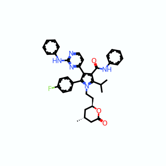 CC(C)c1c(C(=O)Nc2ccccc2)c(-c2ccnc(Nc3ccccc3)n2)c(-c2ccc(F)cc2)n1CC[C@@H]1C[C@@H](C)CC(=O)O1